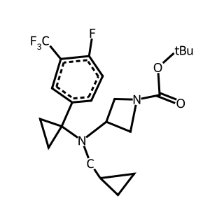 CC(C)(C)OC(=O)N1CC(N(CC2CC2)C2(c3ccc(F)c(C(F)(F)F)c3)CC2)C1